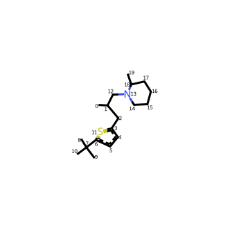 CC(Cc1ccc(C(C)(C)C)s1)CN1CCCCC1C